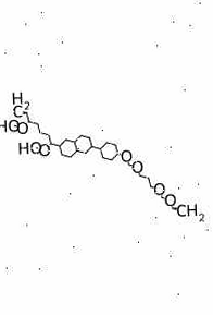 C=COCOCCCOCOC1CCC(C2CCC3CC(C(CCCC(C=C)OO)OO)CCC3C2)CC1